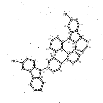 N#Cc1ccc2c(c1)c1ccccc1n2-c1ccc(-c2ccccc2-c2ccccc2-n2c3ccccc3c3ccc(C#N)cc32)c(C#N)c1